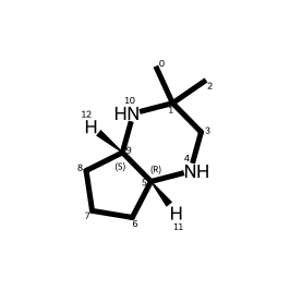 CC1(C)CN[C@@H]2CCC[C@@H]2N1